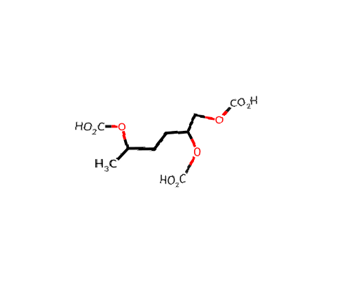 CC(CCC(COC(=O)O)OC(=O)O)OC(=O)O